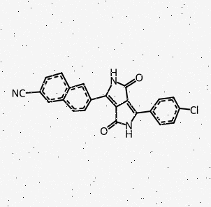 N#Cc1ccc2cc(C3=C4C(=O)NC(c5ccc(Cl)cc5)=C4C(=O)N3)ccc2c1